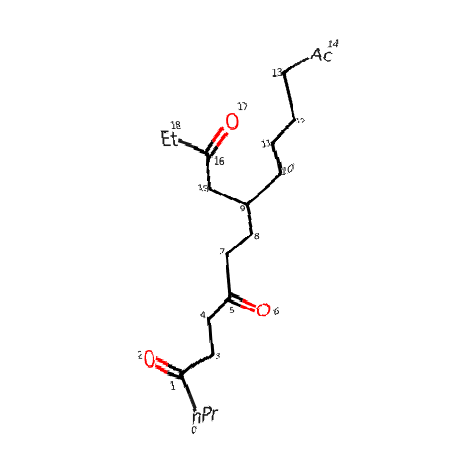 CCCC(=O)CCC(=O)CCC(CCCCC(C)=O)CC(=O)CC